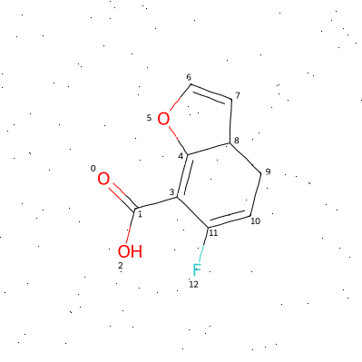 O=C(O)C1=C2OC=CC2CC=C1F